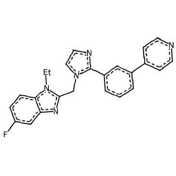 CCn1c(Cn2ccnc2-c2cccc(-c3ccncc3)c2)nc2cc(F)ccc21